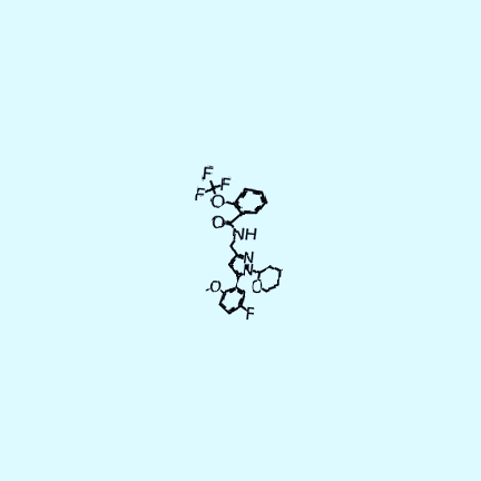 COc1ccc(F)cc1-c1cc(CNC(=O)c2ccccc2OC(F)(F)F)nn1C1CCCCO1